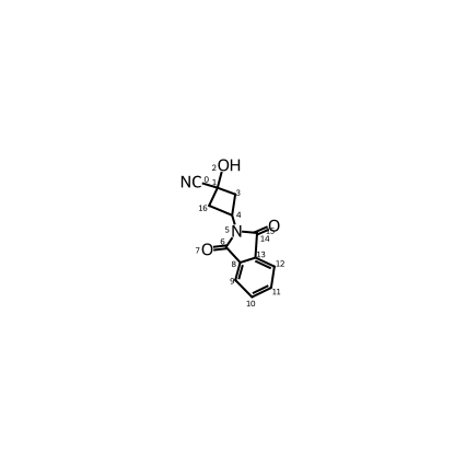 N#CC1(O)CC(N2C(=O)c3ccccc3C2=O)C1